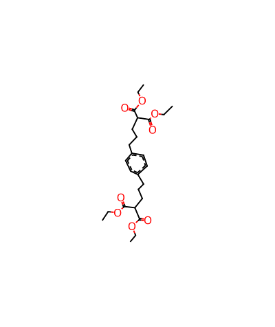 CCOC(=O)C(CCCc1ccc(CCCC(C(=O)OCC)C(=O)OCC)cc1)C(=O)OCC